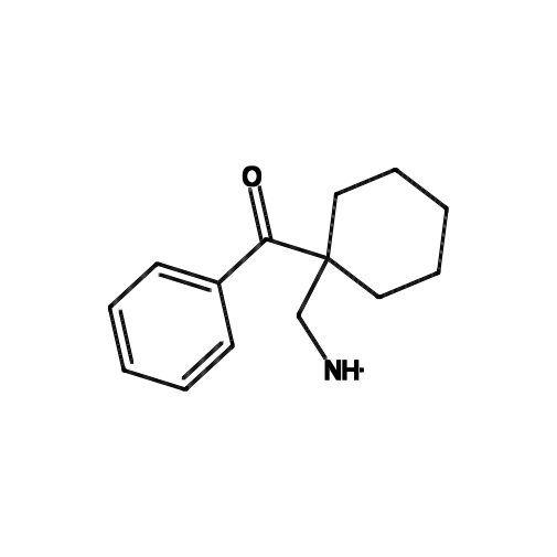 [NH]CC1(C(=O)c2ccccc2)CCCCC1